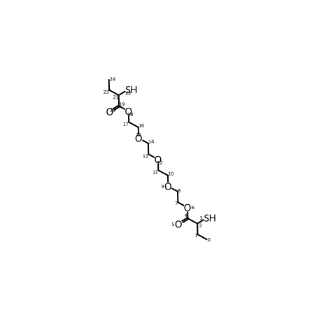 CCC(S)C(=O)OCCOCCOCCOCCOC(=O)C(S)CC